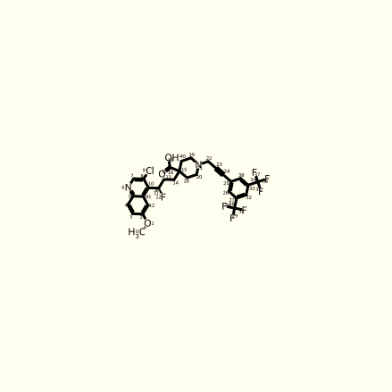 COc1ccc2ncc(Cl)c([C@H](F)CCC3(C(=O)O)CCN(CC#Cc4cc(C(F)(F)F)cc(C(F)(F)F)c4)CC3)c2c1